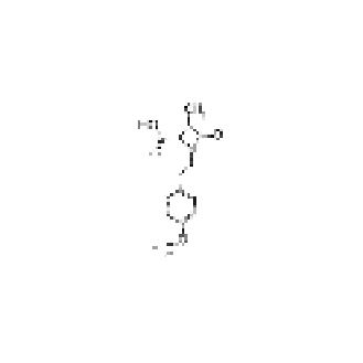 COc1ccc(CCN2C(=O)C(C)C2C(=O)O)cc1